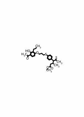 CCCc1c(OCCCSc2ccc(C(C(C)=S)C(C)CC(=O)OC)cc2)ccc(C(C)=O)c1O